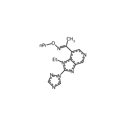 CCCON=C(C)c1cncc2nc(-n3cncn3)n(CC)c12